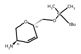 CC(C)(C)[Si](C)(C)OC[C@@H]1C=C[C@@H](N)CO1